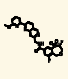 COc1cccc(-c2ccc3cnc(CNC(=O)c4cc(F)c5c(c4)S(=O)(=O)[C@@H](F)COC5)cc3n2)n1